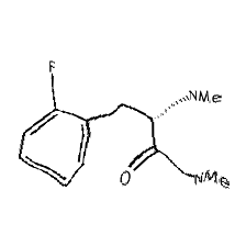 CNC(=O)[C@H](Cc1ccccc1F)NC